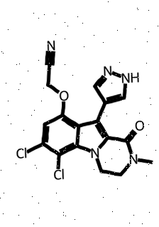 CN1CCn2c(c(-c3cn[nH]c3)c3c(OCC#N)cc(Cl)c(Cl)c32)C1=O